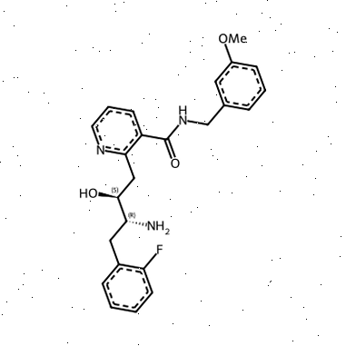 COc1cccc(CNC(=O)c2cccnc2C[C@H](O)[C@H](N)Cc2ccccc2F)c1